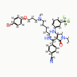 CCN1CC(Nc2cccc(C(F)(F)F)c2)=C([C@H](NCCCCCN(C)CCCOc2ccc(Br)cc2)c2ccc(C#N)cc2)C1=O